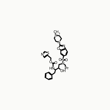 CC(C)CN(CC(O)C(Cc1ccccc1)NC(=O)OCc1cncs1)S(=O)(=O)c1ccc2nc(N3CCN(C)CC3)oc2c1